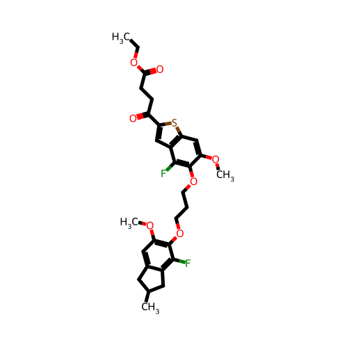 CCOC(=O)CCC(=O)c1cc2c(F)c(OCCCOc3c(OC)cc4c(c3F)CC(C)C4)c(OC)cc2s1